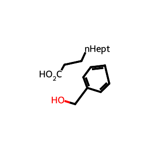 CCCCCCCCCC(=O)O.OCc1ccccc1